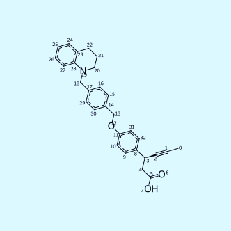 CC#C[C@@H](CC(=O)O)c1ccc(OCc2ccc(CN3CCCc4ccccc43)cc2)cc1